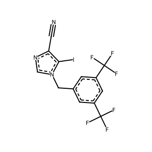 N#Cc1ncn(Cc2cc(C(F)(F)F)cc(C(F)(F)F)c2)c1I